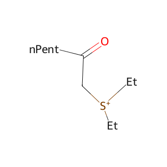 CCCCCC(=O)C[S+](CC)CC